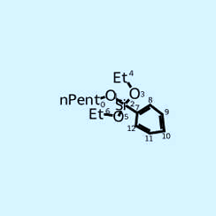 CCCCCO[Si](OCC)(OCC)c1ccccc1